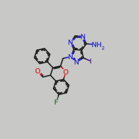 Nc1ncnc2c1c(I)nn2CC1=C(c2ccccc2)C(C=O)c2cc(F)ccc2O1